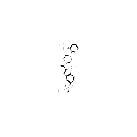 CCn1c(C(=O)N2CCN(c3ncccc3NC(C)C)CC2)cc2cc(NS(C)(=O)=O)ccc21